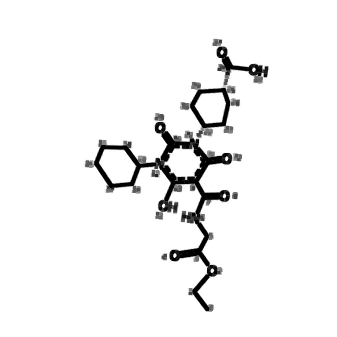 CCOC(=O)CNC(=O)c1c(O)n(C2CCCCC2)c(=O)n([C@H]2CC[C@@H](C(=O)O)CC2)c1=O